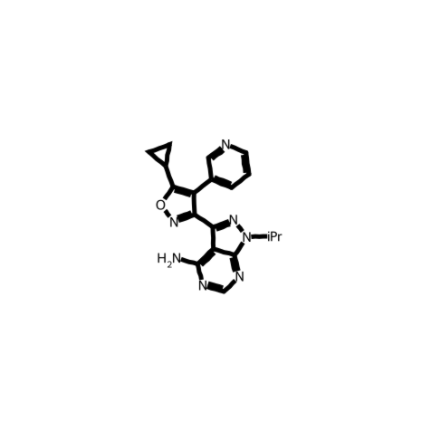 CC(C)n1nc(-c2noc(C3CC3)c2-c2cccnc2)c2c(N)ncnc21